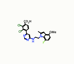 COc1ccc(F)c2c1cc(C)n2CCNc1cc(-c2ccc(C(=O)O)c(Cl)c2Cl)ncn1